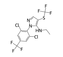 CCNc1c(SC(F)(F)F)cnn1-c1c(Cl)cc(C(F)(F)F)cc1Cl